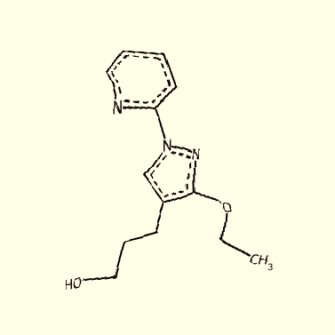 CCOc1nn(-c2ccccn2)cc1CCCO